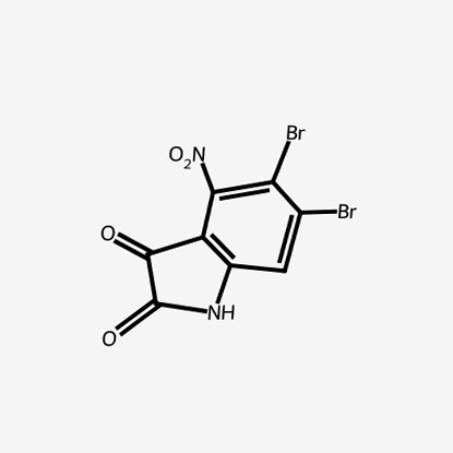 O=C1Nc2cc(Br)c(Br)c([N+](=O)[O-])c2C1=O